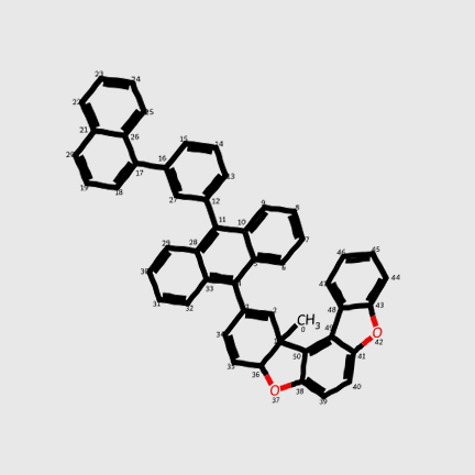 CC12C=C(c3c4ccccc4c(-c4cccc(-c5cccc6ccccc56)c4)c4ccccc34)C=CC1Oc1ccc3oc4ccccc4c3c12